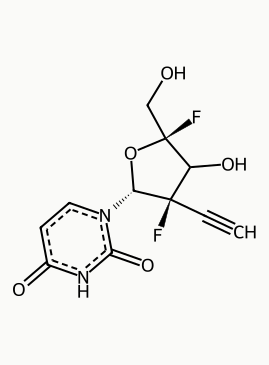 C#C[C@@]1(F)C(O)[C@@](F)(CO)O[C@H]1n1ccc(=O)[nH]c1=O